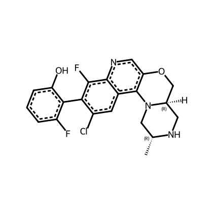 C[C@@H]1CN2c3c(cnc4c(F)c(-c5c(O)cccc5F)c(Cl)cc34)OC[C@H]2CN1